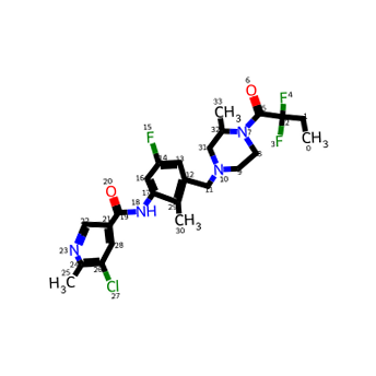 CCC(F)(F)C(=O)N1CCN(Cc2cc(F)cc(NC(=O)c3cnc(C)c(Cl)c3)c2C)CC1C